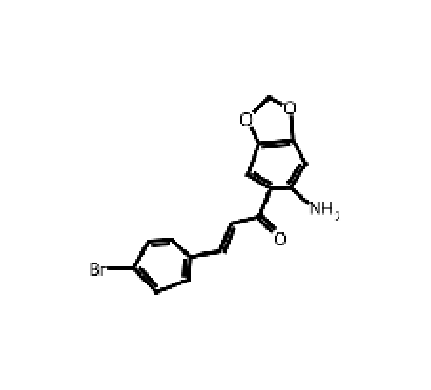 Nc1cc2c(cc1C(=O)C=Cc1ccc(Br)cc1)OCO2